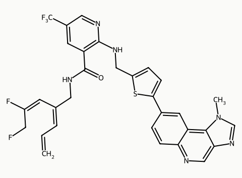 C=C/C=C(\C=C(\F)CF)CNC(=O)c1cc(C(F)(F)F)cnc1NCc1ccc(-c2ccc3ncc4ncn(C)c4c3c2)s1